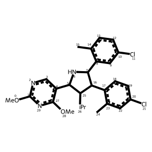 COc1ncc(C2NC(c3cc(Cl)ccc3C)C(c3ccc(Cl)cc3C)C2C(C)C)c(OC)n1